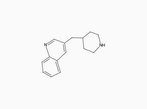 c1ccc2ncc(CC3CCNCC3)cc2c1